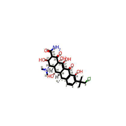 C[C@H]1c2ccc(C(C)(C)CCl)c(O)c2C(=O)C2=C(O)[C@]3(O)C(=O)C(C(N)=O)C(O)[C@@H](N(C)C)[C@@H]3[C@@H](O)[C@@H]21